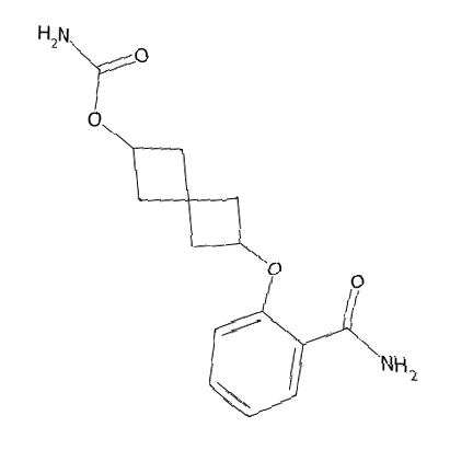 NC(=O)OC1CC2(C1)CC(Oc1ccccc1C(N)=O)C2